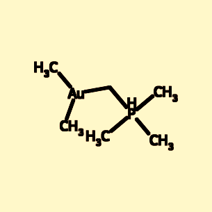 [CH3][Au]([CH3])[CH2][PH](C)(C)C